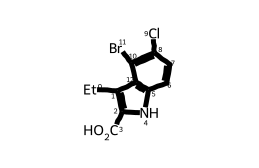 CCc1c(C(=O)O)[nH]c2ccc(Cl)c(Br)c12